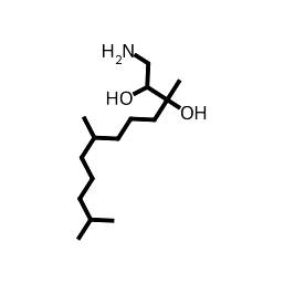 CC(C)CCCC(C)CCCC(C)(O)C(O)CN